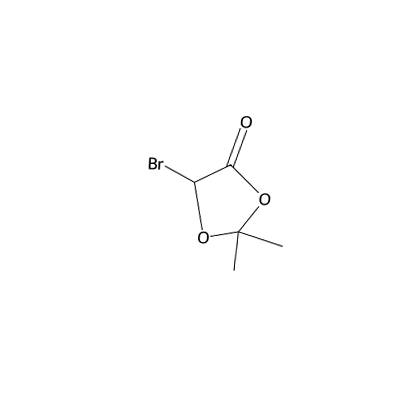 CC1(C)OC(=O)C(Br)O1